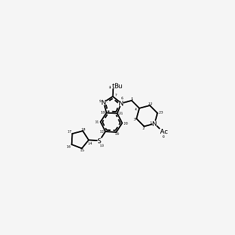 CC(=O)N1CCC(Cn2c(C(C)(C)C)nc3cc(SC4CCCC4)ccc32)CC1